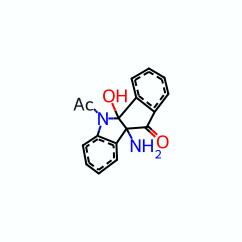 CC(=O)N1c2ccccc2C2(N)C(=O)c3ccccc3C12O